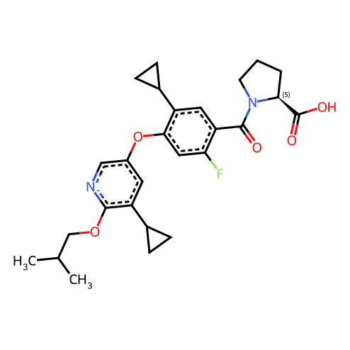 CC(C)COc1ncc(Oc2cc(F)c(C(=O)N3CCC[C@H]3C(=O)O)cc2C2CC2)cc1C1CC1